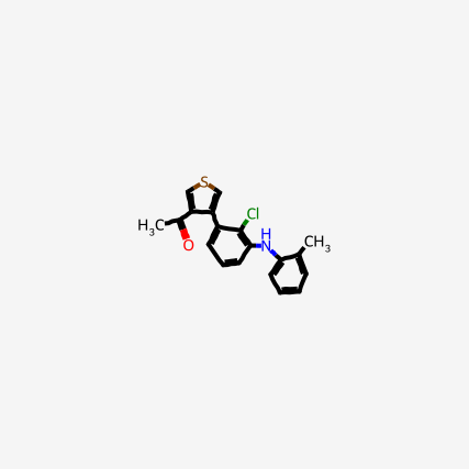 CC(=O)c1cscc1-c1cccc(Nc2ccccc2C)c1Cl